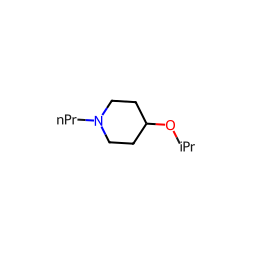 CCCN1CCC(OC(C)C)CC1